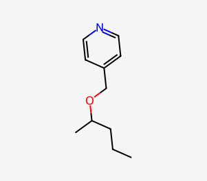 CCCC(C)OCc1ccncc1